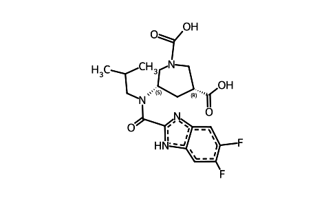 CC(C)CN(C(=O)c1nc2cc(F)c(F)cc2[nH]1)[C@H]1C[C@@H](C(=O)O)CN(C(=O)O)C1